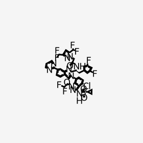 O=C(Cn1nc(C(F)F)cc1C(F)F)N[C@@H](Cc1cc(F)cc(F)c1)c1nc2cc(-c3ncccn3)ccc2c(=O)n1-c1ccc(Cl)c2c(NS(=O)(=O)C3CC3)nn(CC(F)F)c12